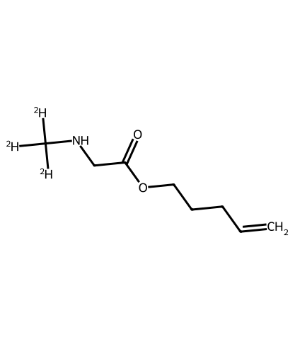 [2H]C([2H])([2H])NCC(=O)OCCCC=C